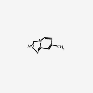 CC1=CC2=NNCN2C=C1